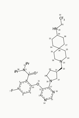 CC(C)N(C(=O)c1cc(F)ccc1Oc1cncnc1N1CC[C@@H](CN2CCC3(CCC(NCC(F)(F)F)CC3)CC2)C1)C(C)C